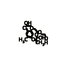 Cc1cc(Cl)ccc1OC(C)C(=O)O.OCCOCCOCCO